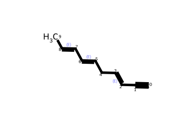 [C]#C/C=C/C/C=C/C=C/C